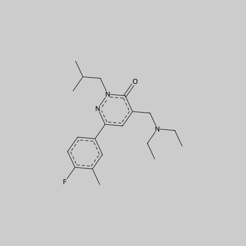 CCN(CC)Cc1cc(-c2ccc(F)c(C)c2)nn(CC(C)C)c1=O